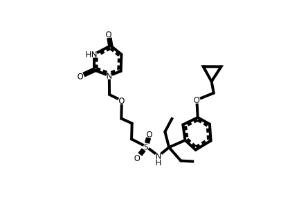 CCC(CC)(NS(=O)(=O)CCCOCn1ccc(=O)[nH]c1=O)c1cccc(OCC2CC2)c1